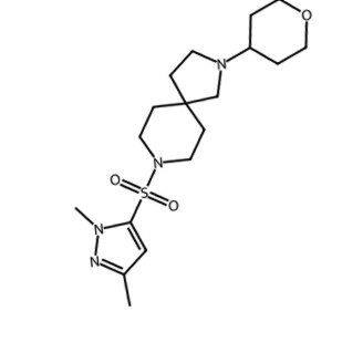 Cc1cc(S(=O)(=O)N2CCC3(CCN(C4CCOCC4)C3)CC2)n(C)n1